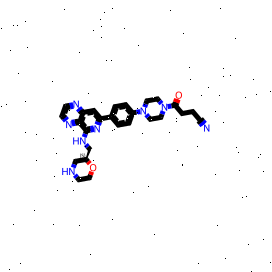 N#CCCC(=O)N1CCN(c2ccc(-c3cc4nccnc4c(NC[C@@H]4CNCCO4)n3)cc2)CC1